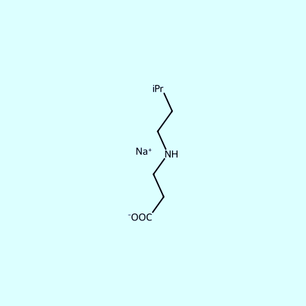 CC(C)CCNCCC(=O)[O-].[Na+]